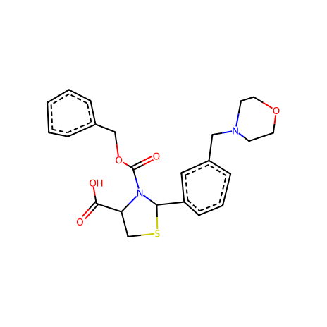 O=C(O)C1CSC(c2cccc(CN3CCOCC3)c2)N1C(=O)OCc1ccccc1